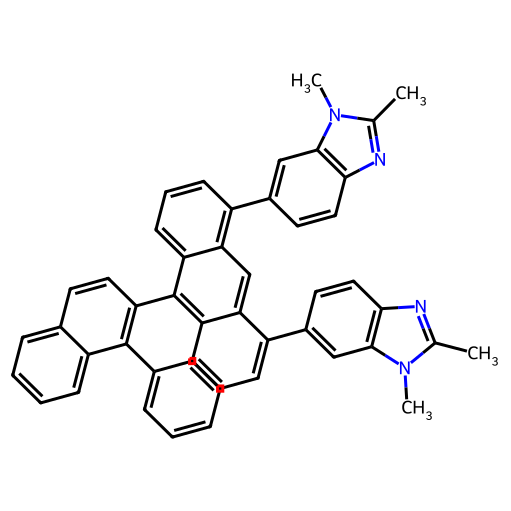 Cc1nc2ccc(-c3cccc4c(-c5ccc6ccccc6c5-c5ccccc5)c5cccc(-c6ccc7nc(C)n(C)c7c6)c5cc34)cc2n1C